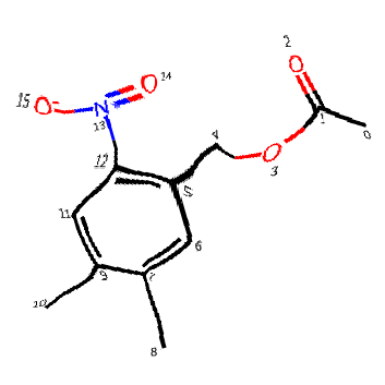 CC(=O)OCc1cc(C)c(C)cc1[N+](=O)[O-]